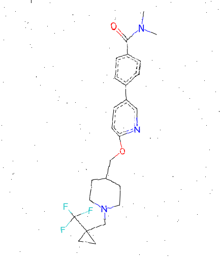 CN(C)C(=O)c1ccc(-c2ccc(OCC3CCN(CC4(C(F)(F)F)CC4)CC3)nc2)cc1